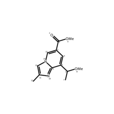 COC(=O)c1cc(C(C)OC)c2nc(C)cn2c1